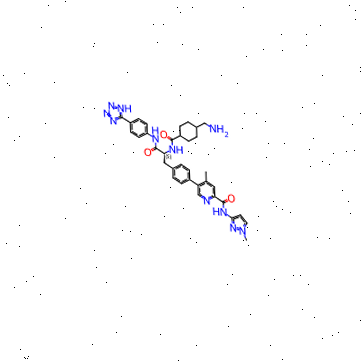 Cc1cc(C(=O)Nc2ccn(C)n2)ncc1-c1ccc(C[C@H](NC(=O)C2CCC(CN)CC2)C(=O)Nc2ccc(-c3nnn[nH]3)cc2)cc1